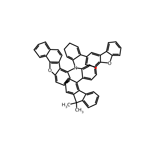 CC1(C)c2ccccc2-c2c(-c3ccccc3N(C3=CCCC=C3c3ccc4oc5ccccc5c4c3)c3cccc4oc5c6ccccc6ccc5c34)cccc21